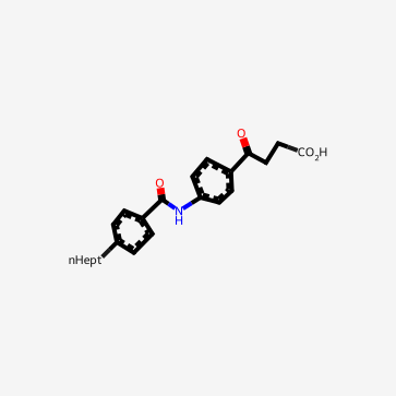 CCCCCCCc1ccc(C(=O)Nc2ccc(C(=O)CCC(=O)O)cc2)cc1